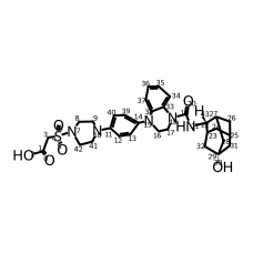 O=C(O)CS(=O)(=O)N1CCN(c2ccc(N3CCN(C(=O)N[C@H]4C5CC6CC4C[C@@](O)(C6)C5)c4ccccc43)cc2)CC1